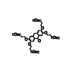 CCCCCCCCCCCCOc1cc2c(cc1OCCCCCCCCCCCC)C(=O)c1cc(OCCCCCCCCCCCC)c(OCCCCCCCCCCCC)cc1C2